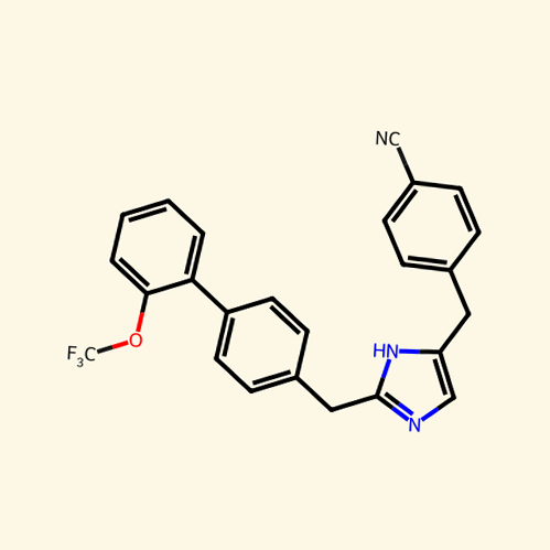 N#Cc1ccc(Cc2cnc(Cc3ccc(-c4ccccc4OC(F)(F)F)cc3)[nH]2)cc1